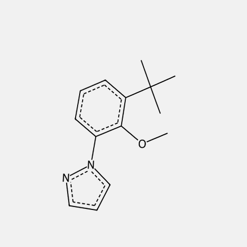 COc1c(-n2cccn2)cccc1C(C)(C)C